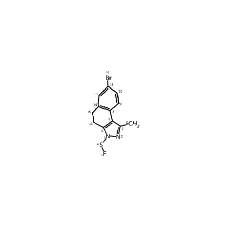 Cc1nn(SF)c2c1-c1ccc(Br)cc1CC2